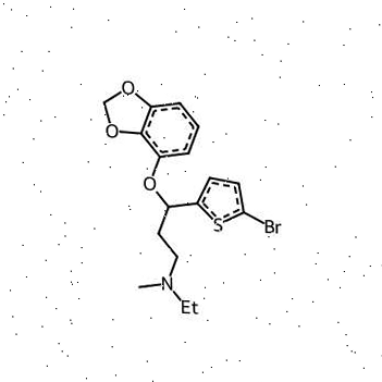 CCN(C)CCC(Oc1cccc2c1OCO2)c1ccc(Br)s1